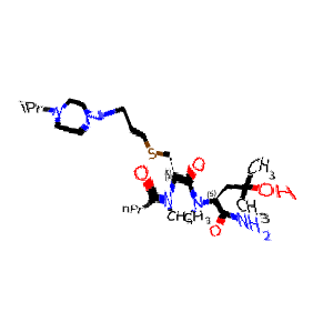 CCCC(=O)N(C)[C@H](CSCCCN1CCN(C(C)C)CC1)C(=O)N(C)[C@@H](CC(C)(C)O)C(N)=O